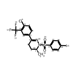 C[C@H]1CCC(c2ccc(Cl)c(C(F)(F)F)c2)=NN1S(=O)(=O)c1ccc(I)cc1